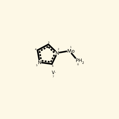 [PH2][Mo][n]1ccnc1.[V]